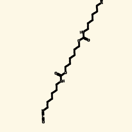 O=C=NCCCCCCNC(=O)OCCCCCCOC(=O)NCCCCCCN=C=O